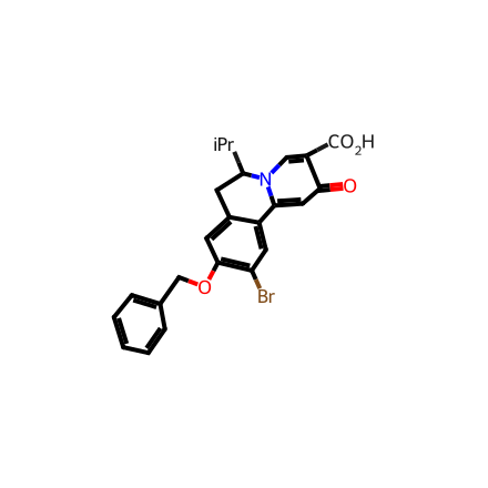 CC(C)C1Cc2cc(OCc3ccccc3)c(Br)cc2-c2cc(=O)c(C(=O)O)cn21